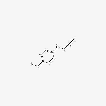 C#CCOc1ccc(CC)cc1